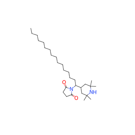 CCCCCCCCCCCCCCCC(C1CC(C)(C)NC(C)(C)C1)N1C(=O)CCC1=O